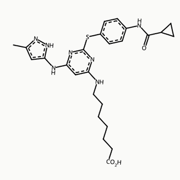 Cc1cc(Nc2cc(NCCCCCCC(=O)O)nc(Sc3ccc(NC(=O)C4CC4)cc3)n2)[nH]n1